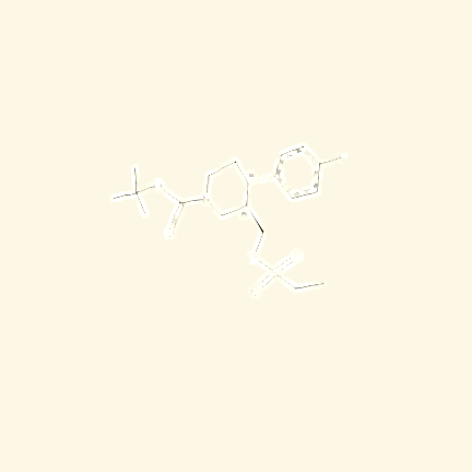 CCS(=O)(=O)OC[C@H]1CN(C(=O)OC(C)(C)C)CC[C@@H]1c1ccc(F)cc1